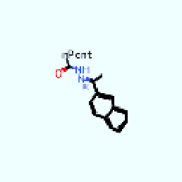 CCCCCC(=O)N/N=C(\C)c1ccc2ccccc2c1